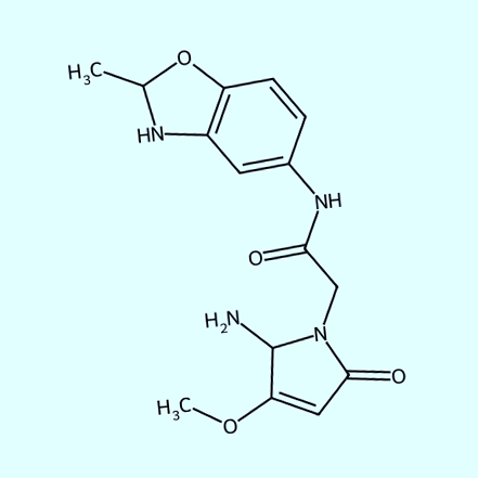 COC1=CC(=O)N(CC(=O)Nc2ccc3c(c2)NC(C)O3)C1N